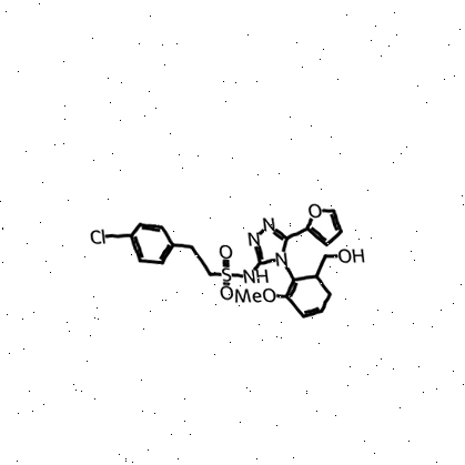 COC1=C(n2c(NS(=O)(=O)CCc3ccc(Cl)cc3)nnc2-c2ccco2)C(CO)CC=C1